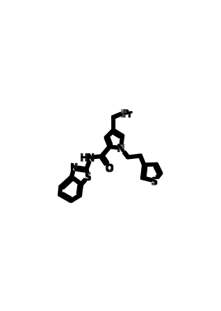 CC(C)Cc1cc(C(=O)Nc2nc3ccccc3s2)n(CCc2ccsc2)c1